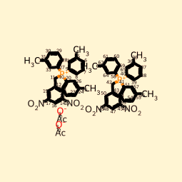 CC(=O)[O-].CC(=O)[O-].Cc1cccc([P+](Cc2cc([N+](=O)[O-])cc([N+](=O)[O-])c2)(c2cccc(C)c2)c2cccc(C)c2)c1.Cc1cccc([P+](Cc2cc([N+](=O)[O-])cc([N+](=O)[O-])c2)(c2cccc(C)c2)c2cccc(C)c2)c1